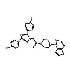 O=C(Cn1nc(-c2ccc(F)cc2)nc1-c1ccc(F)cc1)N1CCN(c2nccc3sccc23)CC1